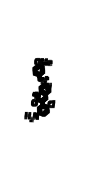 COc1ccc(CN(C)c2cc3c(cn2)cc(-c2cc(N)ccc2Cl)c(=O)n3C)cc1